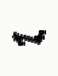 C=C(NCCO)C1(CCCCCCCCCCCCC2(C(=O)NCCO)CC2)CC1